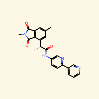 Cc1cc2c(c([C@@H](C)C(=O)Nc3ccc(-c4cccnc4)nc3)c1)C(=O)N(C)C2=O